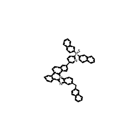 S=P(c1ccc2ccccc2c1)(c1ccc2ccccc2c1)c1ccc(-c2ccc3c(ccc4c5ccccc5c5nc6cc(Cc7ccc8ccccc8c7)ccc6n5c34)c2)cn1